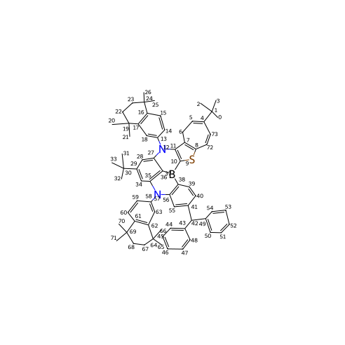 CC(C)(C)C1=CCc2c(sc3c2N(c2ccc4c(c2)C(C)(C)CCC4(C)C)c2cc(C(C)(C)C)cc4c2B3c2ccc(C(c3ccccc3)c3ccccc3)cc2N4c2ccc3c(c2)C(C)(C)CCC3(C)C)C=C1